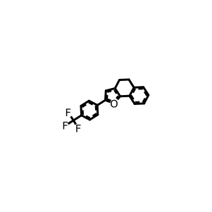 FC(F)(F)c1ccc(-c2cc3c(o2)-c2ccccc2CC3)cc1